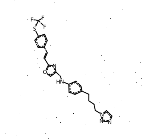 FC(F)(F)Sc1ccc(C=Cc2nc(CNc3ccc(CCCCn4ccnn4)cc3)co2)cc1